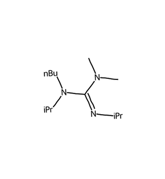 CCCCN(C(=NC(C)C)N(C)C)C(C)C